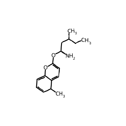 CCC(C)CC(N)OC1=CC=C2C(=CC=CC2C)O1